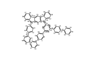 c1ccc(-c2ccc(-c3nc(-c4ccc(-c5ccccc5)cc4)nc(-n4c5ccccc5c5cc6c7ccccc7n(-c7ccc(-c8ccccc8)cc7)c6cc54)n3)cc2)cc1